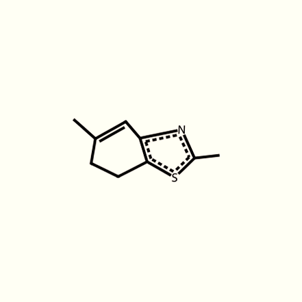 CC1=Cc2nc(C)sc2CC1